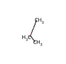 CCCCCCCCCCCCCCCCCCCC(C)CCCCCCCC